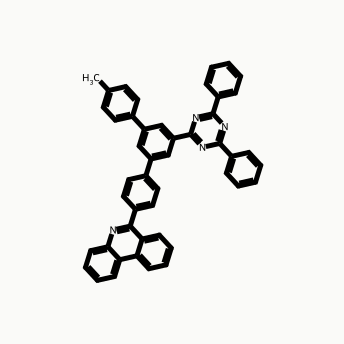 Cc1ccc(-c2cc(-c3ccc(-c4nc5ccccc5c5ccccc45)cc3)cc(-c3nc(-c4ccccc4)nc(-c4ccccc4)n3)c2)cc1